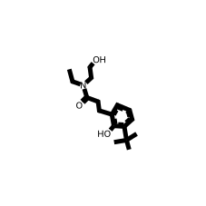 CCN(CCO)C(=O)CCc1cccc(C(C)(C)C)c1O